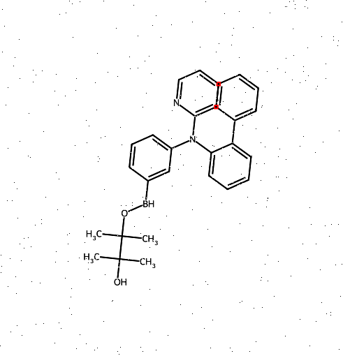 CC(C)(O)C(C)(C)OBc1cccc(N(c2ccccn2)c2ccccc2-c2ccccc2)c1